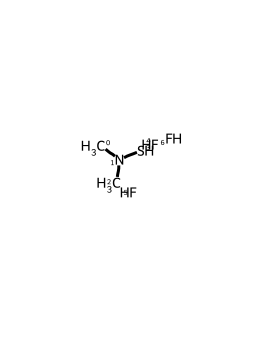 CN(C)S.F.F.F